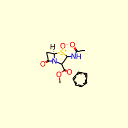 COC(=O)C1C(NC(C)=O)[S+]([O-])[C@@H]2CC(=O)N12.c1ccccc1